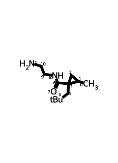 CC1CC1(CC(C)(C)C)C(=O)NCCN